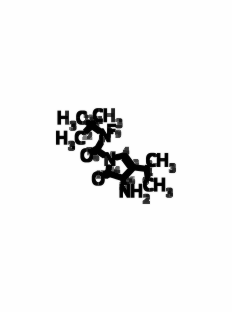 CC(C)C1=CN(C(=O)N(F)C(C)(C)C)C(=O)C1N